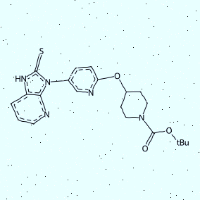 CC(C)(C)OC(=O)N1CCC(Oc2ccc(-n3c(=S)[nH]c4cccnc43)cn2)CC1